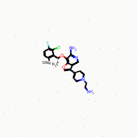 COc1ccc(F)c(Cl)c1[C@@H](C)Oc1c(N)ncc2c(C3=CCN(CCN)CC3)coc12